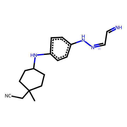 CC1(CC#N)CCC(Nc2ccc(N/N=C\C=N)cc2)CC1